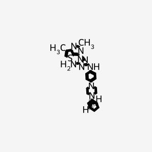 Cc1nc(-n2nc(Nc3ccc(N4CCN([C@H]5C[C@@H]6CC[C@H]5C6)CC4)cc3)nc2N)c2scc(C)c2n1